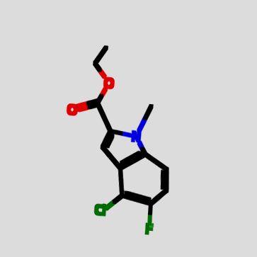 CCOC(=O)c1cc2c(Cl)c(F)ccc2n1C